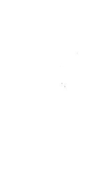 CSCCNC(=O)c1ccccc1